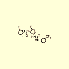 O=C(Nc1cccc(C(F)(F)F)c1)Nc1ccc(F)c(NC(=O)c2cc(F)ccc2F)c1